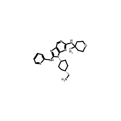 CC1(Nc2ncc3nc(Nc4ccccn4)n([C@H]4CC[C@@H](CN)CC4)c3n2)CCOCC1